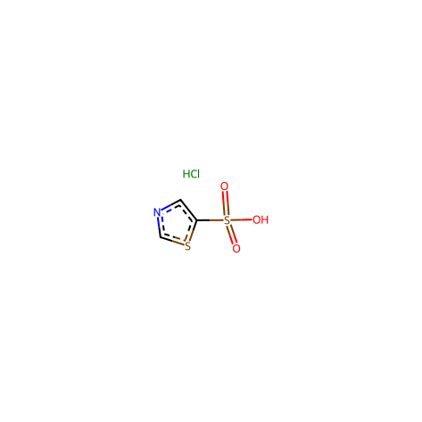 Cl.O=S(=O)(O)c1cncs1